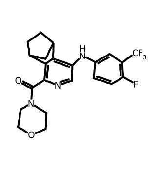 O=C(c1ncc(Nc2ccc(F)c(C(F)(F)F)c2)c2c1C1CCC2C1)N1CCOCC1